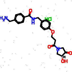 Cl.NCc1ccc(C(=O)NCc2ccc(OCCC(=O)N3CC(=O)[C@H](O)C3)cc2)cc1